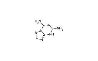 NC1=CC(N)Nc2ncnn21